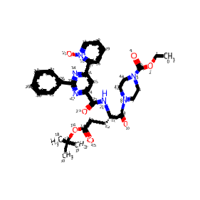 CCOC(=O)N1CCN(C(=O)[C@H](CCC(=O)OC(C)(C)C)NC(=O)c2cc(-c3cccc[n+]3[O-])nc(-c3ccccc3)n2)CC1